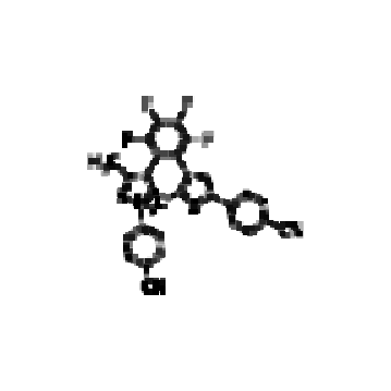 Cc1sc(-c2ccc(C#N)cc2)cc1-c1c(F)c(F)c(F)c(F)c1-c1cc(-c2ccc(C#N)cc2)sc1C